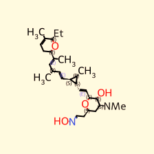 CC[C@H]1O[C@@H](/C(C)=C/[C@H](C)/C=C/[C@H]2[C@@H](C)[C@@H]2/C=C/[C@@H]2O[C@H](CC=NO)C[C@H](NC)[C@H]2O)CC=C1C